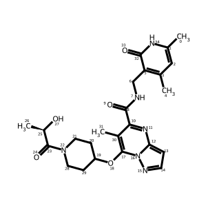 Cc1cc(C)c(CNC(=O)c2nc3ccnn3c(OC3CCN(C(=O)[C@@H](C)O)CC3)c2C)c(=O)[nH]1